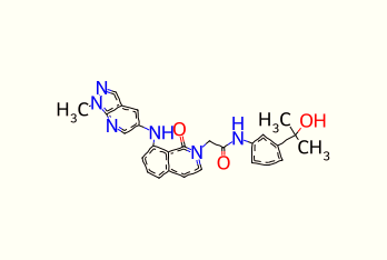 Cn1ncc2cc(Nc3cccc4ccn(CC(=O)Nc5cccc(C(C)(C)O)c5)c(=O)c34)cnc21